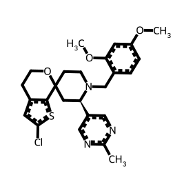 COc1ccc(CN2CCC3(C[C@@H]2c2cnc(C)nc2)OCCc2cc(Cl)sc23)c(OC)c1